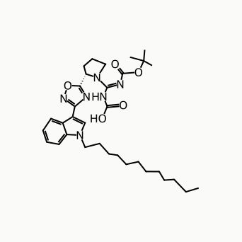 CCCCCCCCCCCCn1cc(-c2noc([C@@H]3CCCN3/C(=N\C(=O)OC(C)(C)C)NC(=O)O)n2)c2ccccc21